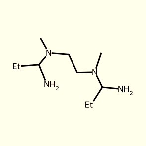 CCC(N)N(C)CCN(C)C(N)CC